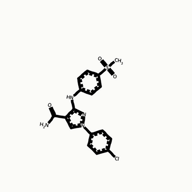 CS(=O)(=O)c1ccc(Nc2nn(-c3ccc(Cl)cc3)cc2C(N)=O)cc1